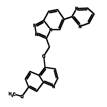 COc1ccc2c(OCc3nnc4ccc(-c5ncccn5)cn34)ccnc2c1